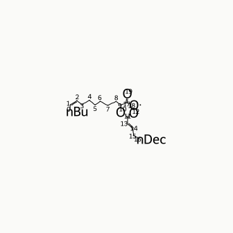 CCCC/C=C\CCCCCCC(OC(=O)C=CCCCCCCCCCCC)C([O])=O